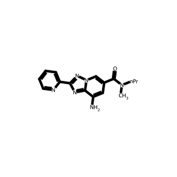 CCCN(C)C(=O)c1cc(N)c2nc(-c3ccccn3)nn2c1